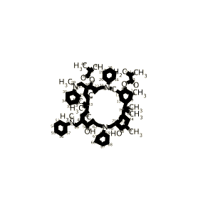 C=C(C)C(=O)Oc1c(C)cc2cc1CN(c1ccccc1)Cc1cc(cc(CN(C)c3ccccc3)c1OC(=O)C(=C)C)C(C)(C)c1cc(CN(C)c3ccccc3)c(O)c(c1)CN(c1ccccc1)Cc1cc(cc(C)c1O)C2(C)C